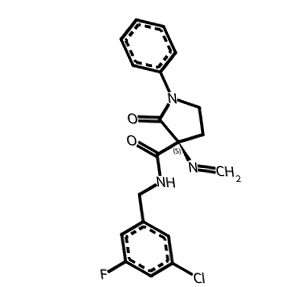 C=N[C@]1(C(=O)NCc2cc(F)cc(Cl)c2)CCN(c2ccccc2)C1=O